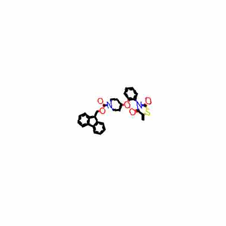 C=C1SC(=O)N(c2ccccc2OC2CCN(C(=O)OCC3c4ccccc4-c4ccccc43)CC2)C1=O